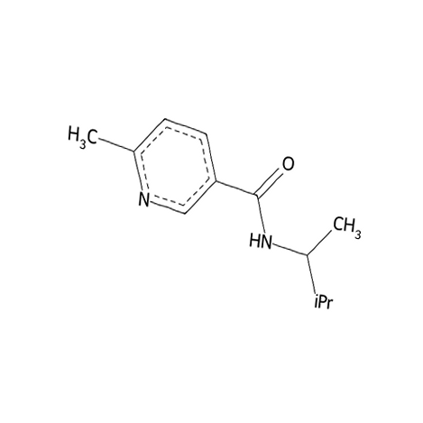 Cc1ccc(C(=O)NC(C)C(C)C)cn1